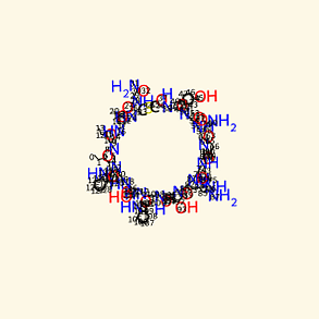 CCCC[C@H]1C(=O)N(C)[C@@H](CCCC)C(=O)N[C@@H](CC(C)C)C(=O)N[C@H](C(=O)NCC(N)=O)CSCC(=O)N[C@@H](Cc2ccc(O)cc2)C(=O)N(C)[C@@H](C)C(=O)N[C@@H](CC(N)=O)C(=O)N2CCC[C@H]2C(=O)N[C@@H](Cc2c[nH]cn2)C(=O)N[C@@H](CCCCN)C(=O)N2C[C@H](O)C[C@H]2C(=O)N[C@@H](Cc2c[nH]c3ccccc23)C(=O)N[C@@H](CO)C(=O)N[C@@H](Cc2c[nH]c3ccccc23)C(=O)N1C